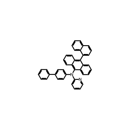 c1ccc(-c2ccc(N(c3ccccn3)c3c4ccccc4c(-c4cccc5ccccc45)c4ccccc34)cc2)cc1